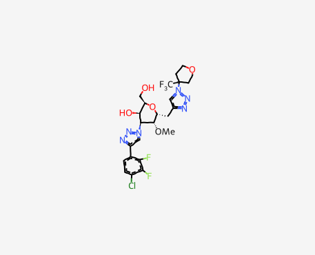 CO[C@@H]1[C@@H](n2cc(-c3ccc(Cl)c(F)c3F)nn2)[C@@H](O)[C@@H](CO)O[C@@H]1Cc1cn(C2(C(F)(F)F)CCOCC2)nn1